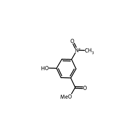 COC(=O)c1cc(O)cc([N+](C)=O)c1